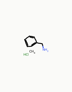 C.Cl.NCc1ccccc1